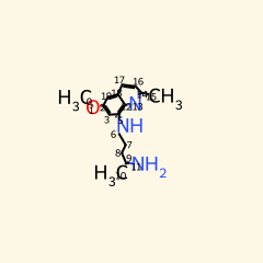 COc1cc(NCCCC(C)N)c2nc(C)ccc2c1